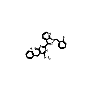 Nc1nc(-c2nn(Cc3ccccc3F)c3ncccc23)nc(N)c1Cc1ccccc1